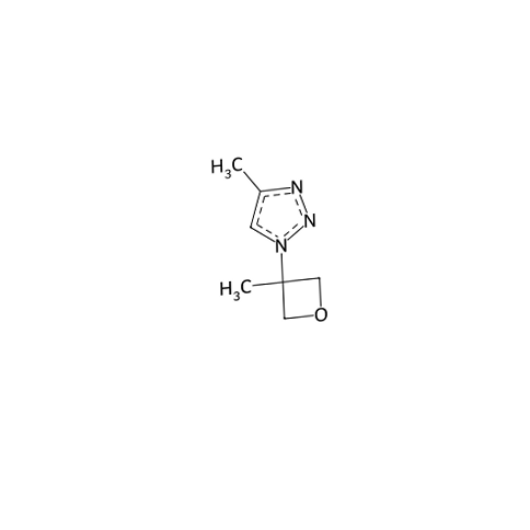 Cc1cn(C2(C)COC2)nn1